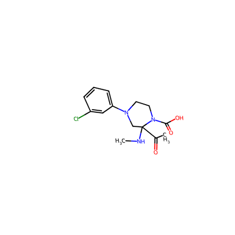 CNC1(C(C)=O)CN(c2cccc(Cl)c2)CCN1C(=O)O